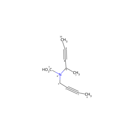 CC#CCN(C(=O)O)C(C)C#CC